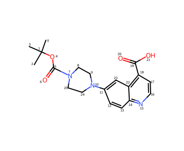 CC(C)(C)OC(=O)N1CCN(c2ccc3nccc(C(=O)O)c3c2)CC1